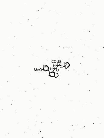 CCOC(=O)C(Cc1ncccn1)NC(=O)Nc1c(-c2ccnc(OC)c2)ccc2c1CCC2